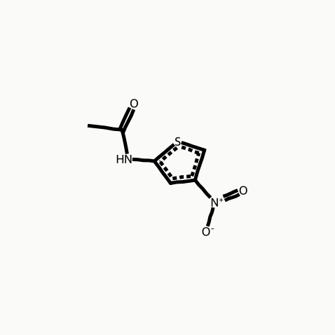 CC(=O)Nc1cc([N+](=O)[O-])cs1